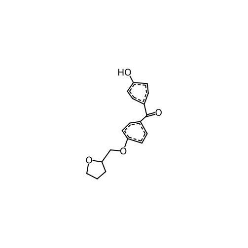 O=C(c1ccc(O)cc1)c1ccc(OCC2CCCO2)cc1